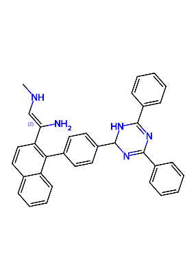 CN/C=C(\N)c1ccc2ccccc2c1-c1ccc(C2N=C(c3ccccc3)N=C(c3ccccc3)N2)cc1